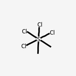 CS(C)(Cl)(Cl)(Cl)Cl